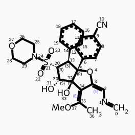 C=N/C=C1/O[C@@]2(c3ccc(C#N)cc3)[C@H](c3ccccc3)[C@@H](S(=O)(=O)N3CCOCC3)[C@@H](O)[C@@]2(O)/C1=C(/C)OC